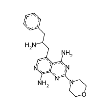 Nc1ncc(CC(N)Cc2ccccc2)c2c(N)nc(N3CCOCC3)nc12